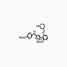 COc1cnc(Nc2cc(-c3c(OC)cccc3OCC3CCCNC3)[nH]n2)cn1